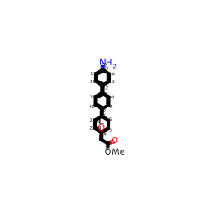 COC(=O)CC12CCC(c3ccc(-c4ccc(N)cc4)cc3)(CC1)CO2